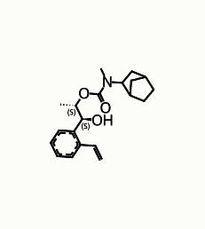 C=Cc1ccccc1[C@H](O)[C@H](C)OC(=O)N(C)C1CC2CCC1C2